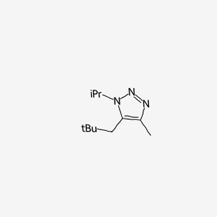 Cc1nnn(C(C)C)c1CC(C)(C)C